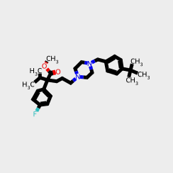 COC(=O)C(CCCN1CCN(Cc2ccc(C(C)(C)C)cc2)CC1)(c1ccc(F)cc1)C(C)C